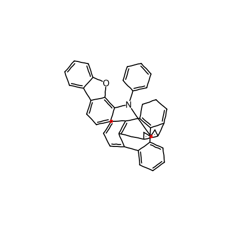 C1=C2C3=C(CC1)c1cccc(c1-c1cc(N(c4ccccc4)c4cccc5c4oc4ccccc45)ccc12)-c1ccccc13